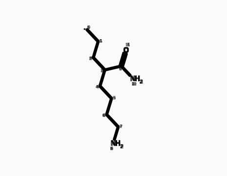 [CH2]CCC(CCCCN)C(N)=O